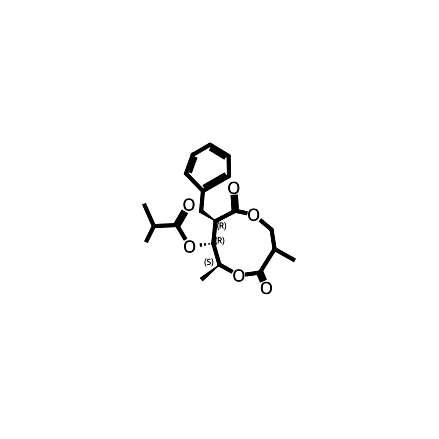 CC(C)C(=O)O[C@H]1[C@H](C)OC(=O)C(C)COC(=O)[C@@H]1Cc1ccccc1